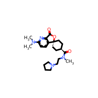 CN(C)c1ccc2c(n1)C(=O)O[C@]21CC[C@H](C(=O)N(C)CCN2CCCC2)CC1